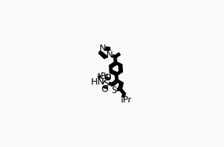 CC(C)Cc1cc(-c2ccc(C(C)n3ccnc3)cc2)c(S(=O)(=O)NC(C)(C)C)s1